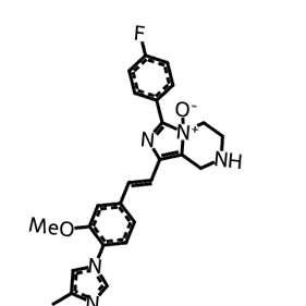 COc1cc(C=CC2=C3CNCC[N+]3([O-])C(c3ccc(F)cc3)=N2)ccc1-n1cnc(C)c1